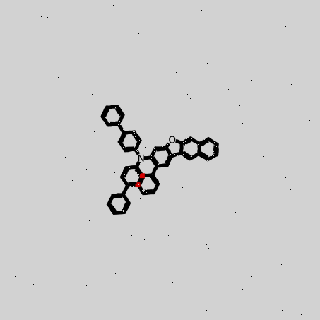 c1ccc(-c2ccc(N(c3ccc(-c4ccccc4)cc3)c3cc4oc5cc6ccccc6cc5c4cc3-c3ccccc3)cc2)cc1